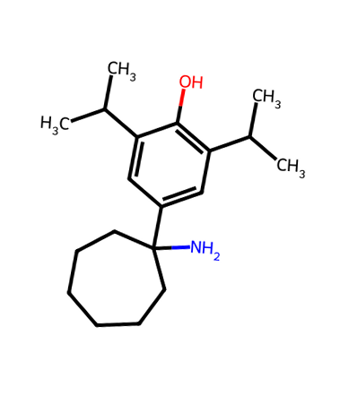 CC(C)c1cc(C2(N)CCCCCC2)cc(C(C)C)c1O